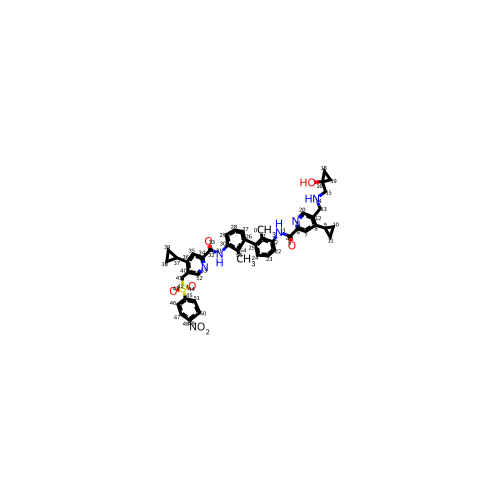 Cc1c(NC(=O)c2cc(C3CC3)c(CNCC3(O)CC3)cn2)cccc1-c1cccc(NC(=O)c2cc(C3CC3)c(CS(=O)(=O)c3ccc([N+](=O)[O-])cc3)cn2)c1C